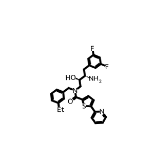 CCc1cccc(CN(C[C@@H](O)[C@@H](N)Cc2cc(F)cc(F)c2)C(=O)c2ccc(-c3ccccn3)s2)c1